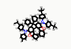 Cc1ccc(N(c2ccc(C(C)C)cc2)c2cc3c(c4c2oc2ccccc24)-c2c(cc(N(c4ccc(C(C)(C)C)cc4)c4ccc(C(C)(C)C)cc4)c4oc5ccccc5c24)C3(c2ccccc2)c2ccccc2)cc1